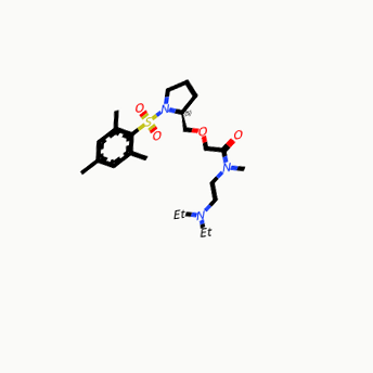 CCN(CC)CCN(C)C(=O)COC[C@@H]1CCCN1S(=O)(=O)c1c(C)cc(C)cc1C